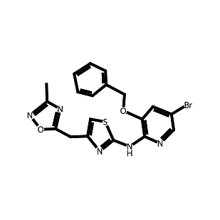 Cc1noc(Cc2csc(Nc3ncc(Br)cc3OCc3ccccc3)n2)n1